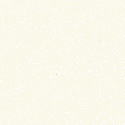 CCc1ccc(C#CC23CCC(c4ccc(CC)cc4)(CC2)CC3)cc1